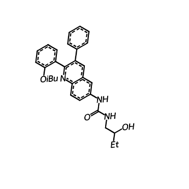 CCC(O)CNC(=O)Nc1ccc2nc(-c3ccccc3OCC(C)C)c(-c3ccccc3)cc2c1